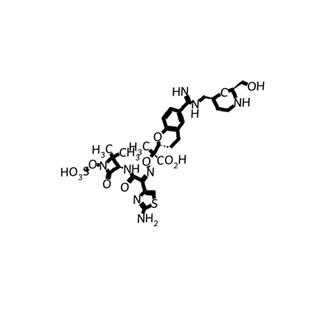 CC1(C)[C@H](NC(=O)/C(=N\O[C@](C)(C(=O)O)[C@H]2CCc3cc(C(=N)NC[C@@H]4CCN[C@H](CO)C4)ccc3O2)c2csc(N)n2)C(=O)N1OS(=O)(=O)O